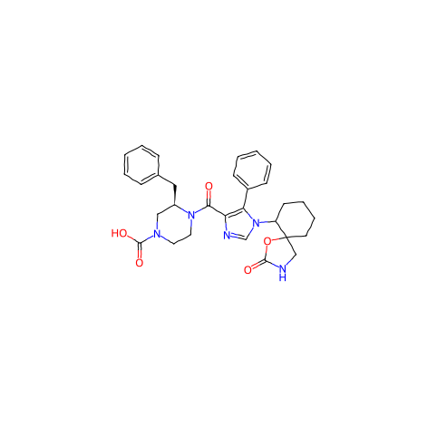 O=C1NCC2(CCCCC2n2cnc(C(=O)N3CCN(C(=O)O)C[C@H]3Cc3ccccc3)c2-c2ccccc2)O1